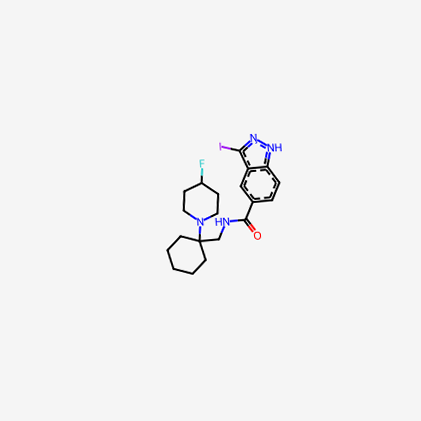 O=C(NCC1(N2CCC(F)CC2)CCCCC1)c1ccc2[nH]nc(I)c2c1